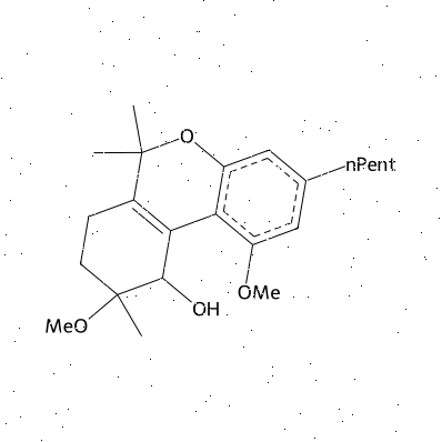 CCCCCc1cc(OC)c2c(c1)OC(C)(C)C1=C2C(O)C(C)(OC)CC1